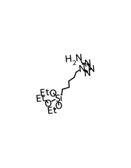 CCO[Si](CCCCCCn1nnnc1N)(OCC)OCC